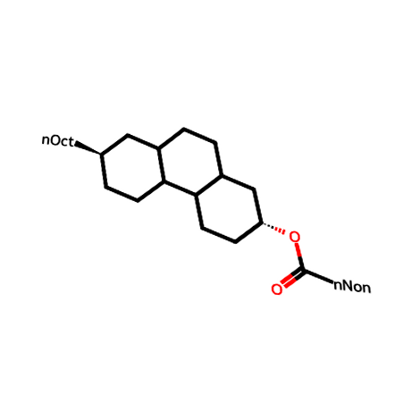 CCCCCCCCCC(=O)O[C@@H]1CCC2C(CCC3C[C@H](CCCCCCCC)CCC32)C1